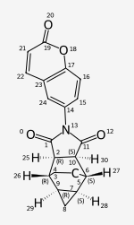 O=C1[C@@H]2[C@@H]3CC[C@@H]([C@H]4C[C@H]43)[C@@H]2C(=O)N1c1ccc2oc(=O)ccc2c1